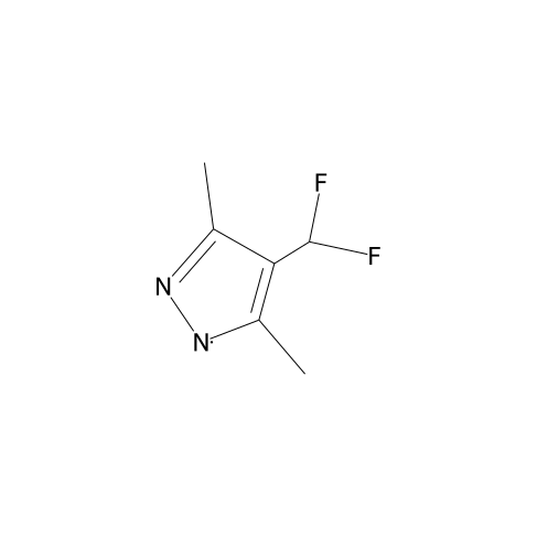 CC1=N[N]C(C)=C1C(F)F